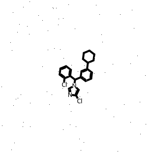 Clc1cn(C(c2cccc(C3CCCCC3)c2)c2ccccc2Cl)cn1